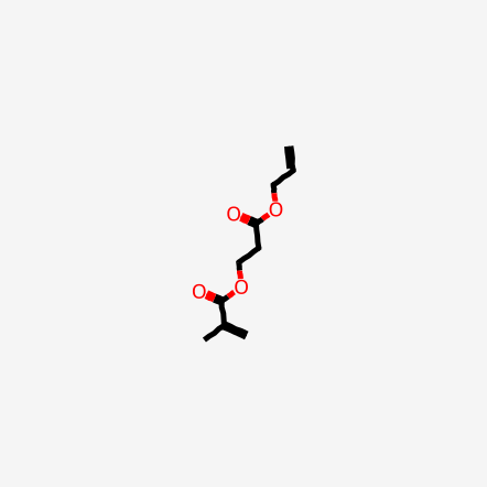 C=CCOC(=O)CCOC(=O)C(=C)C